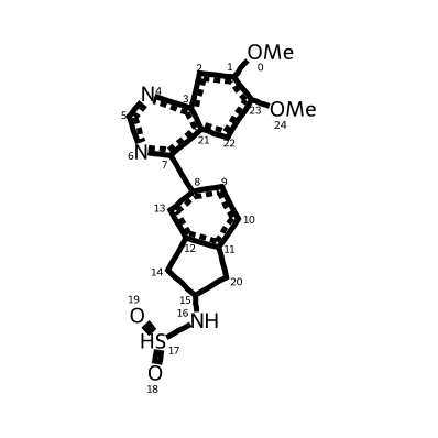 COc1cc2ncnc(-c3ccc4c(c3)CC(N[SH](=O)=O)C4)c2cc1OC